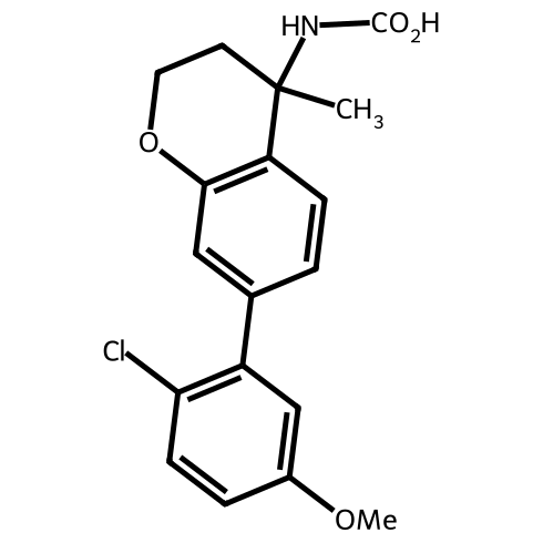 COc1ccc(Cl)c(-c2ccc3c(c2)OCCC3(C)NC(=O)O)c1